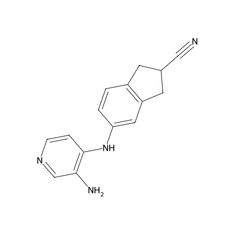 N#CC1Cc2ccc(Nc3ccncc3N)cc2C1